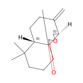 C=C1CC[C@H]2C(C)(C)CCCC23C(=O)OC[C@@H]13